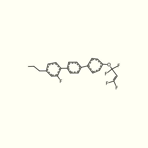 CCCc1ccc(-c2ccc(-c3ccc(OC(F)(F)C=C(F)F)cc3)cc2)c(F)c1